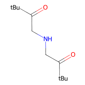 CC(C)(C)C(=O)CNCC(=O)C(C)(C)C